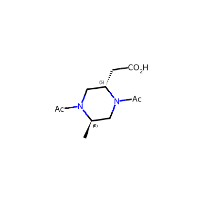 CC(=O)N1C[C@@H](C)N(C(C)=O)C[C@@H]1CC(=O)O